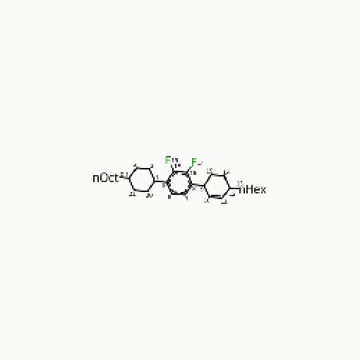 CCCCCCCCC1CCC(c2ccc(C3C=CC(CCCCCC)CC3)c(F)c2F)CC1